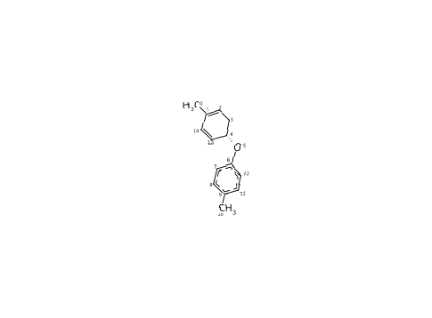 CC1=CC[C@H](Oc2ccc(C)cc2)C=C1